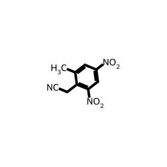 Cc1cc([N+](=O)[O-])cc([N+](=O)[O-])c1CC#N